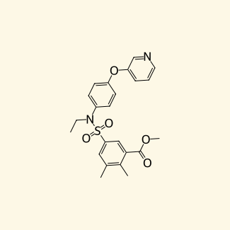 CCN(c1ccc(Oc2cccnc2)cc1)S(=O)(=O)c1cc(C)c(C)c(C(=O)OC)c1